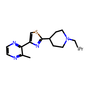 Cc1nccnc1-c1csc(C2CCN(CC(C)C)CC2)n1